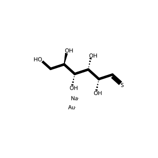 OC[C@@H](O)[C@@H](O)[C@H](O)[C@@H](O)C=S.[Au].[Na]